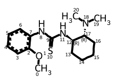 COc1ccccc1NC(=S)N[C@@H]1CCCC[C@H]1N(C)C